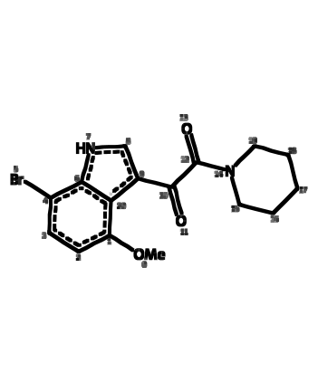 COc1ccc(Br)c2[nH]cc(C(=O)C(=O)N3CCCCC3)c12